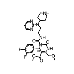 COCC1=C(C(=O)OC)[C@H](c2ccc(F)c(F)c2)N(C(=O)NCCN(c2ncccn2)C2CCNCC2)C(=O)N1